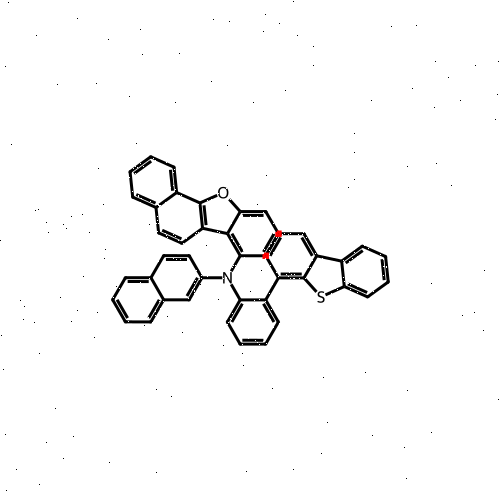 c1ccc(N(c2ccc3ccccc3c2)c2cccc3oc4c5ccccc5ccc4c23)c(-c2cccc3c2sc2ccccc23)c1